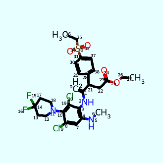 C=C(Nc1c(NC)cc(Cl)c(N2CCC(F)(F)CC2)c1Cl)C(CC(=O)OCC)c1ccc(S(=O)(=O)CC)cc1